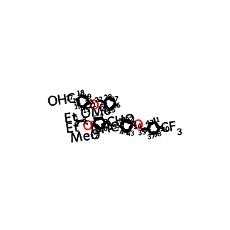 CCC(CC)COc1ccc(C=O)cc1OC.COc1cc(C=O)ccc1OCc1ccccc1.O=Cc1ccc(OCc2ccc(C(F)(F)F)cc2)cc1